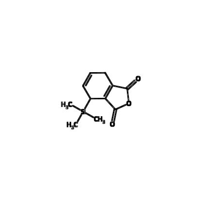 C[Si](C)(C)C1C=CCC2=C1C(=O)OC2=O